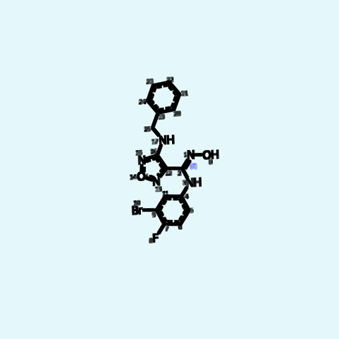 O/N=C(\Nc1ccc(F)c(Br)c1)c1nonc1NCc1ccccc1